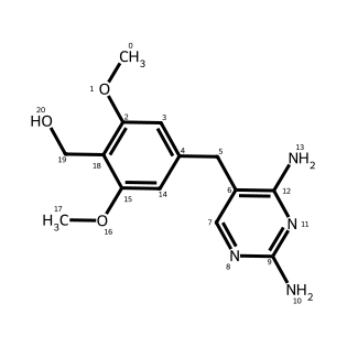 COc1cc(Cc2cnc(N)nc2N)cc(OC)c1CO